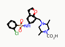 CC1CN(C(=O)O)C(C)CN1Cc1cc(NS(=O)(=O)c2ccccc2Cl)cc2ccoc12